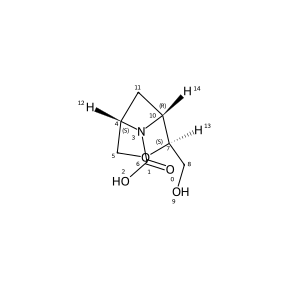 O=C(O)N1[C@@H]2CO[C@H](CO)[C@H]1C2